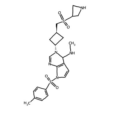 CNC1c2ccn(S(=O)(=O)c3ccc(C)cc3)c2N=CN1[C@H]1C[C@H](CS(=O)(=O)C2CNC2)C1